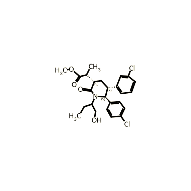 CCC(CO)N1C(=O)[C@H](C(C)C(=O)OC)C[C@H](c2cccc(Cl)c2)[C@H]1c1ccc(Cl)cc1